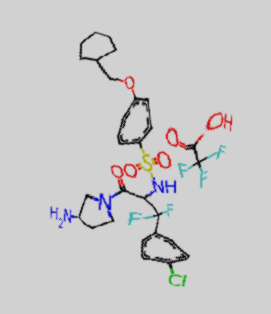 N[C@@H]1CCN(C(=O)C(NS(=O)(=O)c2ccc(OCC3CCCCC3)cc2)C(F)(F)c2ccc(Cl)cc2)C1.O=C(O)C(F)(F)F